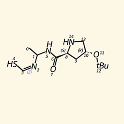 CC(/N=C\S)NC(=O)[C@@H]1C[C@@H](OC(C)(C)C)CN1